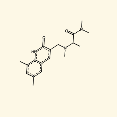 Cc1cc(C)c2[nH]c(=O)c(CN(C)C(C)C(=O)N(C)C)cc2c1